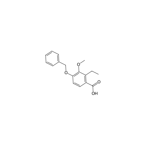 CCc1c(C(=O)O)ccc(OCc2ccccc2)c1OC